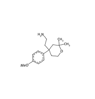 COc1ccc(C2(CCN)CCOC(C)(C)C2)cc1